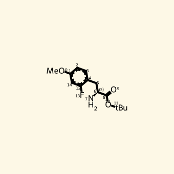 COc1ccc(C[C@H](N)C(=O)OC(C)(C)C)c(F)c1